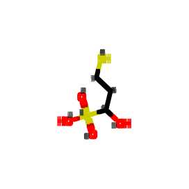 O=S(=O)(O)C(O)CCS